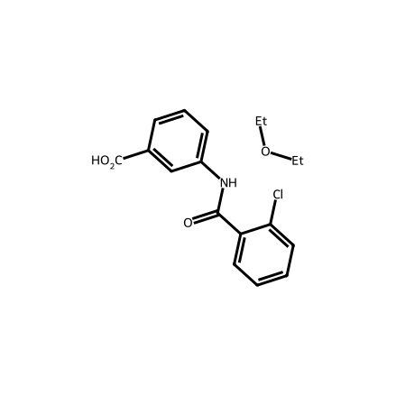 CCOCC.O=C(O)c1cccc(NC(=O)c2ccccc2Cl)c1